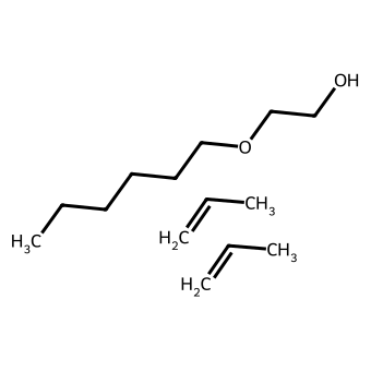 C=CC.C=CC.CCCCCCOCCO